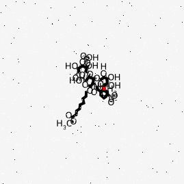 COC(=O)CCCCCCCCO[C@@H]1O[C@H](CO)[C@@H](O[C@@H]2O[C@H](CO)[C@H](O)[C@H](OS(=O)(=O)O)[C@H]2O)[C@H](O[C@@H]2O[C@@H](C)[C@@H](O)[C@@H](O)[C@@H]2O)[C@H]1NC(=O)c1ccc([N+](=O)[O-])cc1